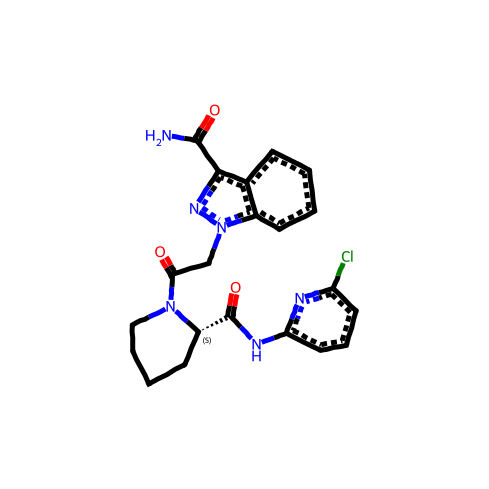 NC(=O)c1nn(CC(=O)N2CCCC[C@H]2C(=O)Nc2cccc(Cl)n2)c2ccccc12